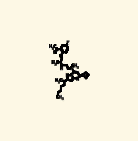 CCCCCC(C)c1cc2nc(N3CCC3)cc(N(C)CCNC(C)COc3ccc(F)cc3C(C)=O)n2n1